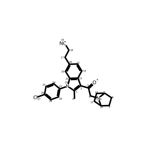 Cc1c(C(=O)CN2C3CCC2CC3)c2ccc(CCC#N)cc2n1-c1ccc(Cl)cc1